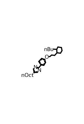 CCCCCCCCc1cnc(-c2ccc(OCCCC3CCCCC3CCCC)cc2)nc1